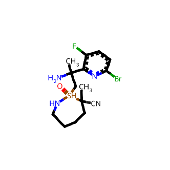 CC(N)(C[SH]1(=O)NCCCCC1(C)C#N)c1nc(Br)ccc1F